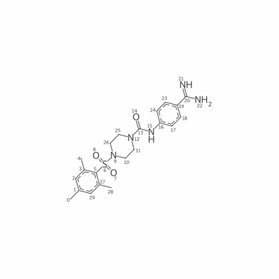 Cc1cc(C)c(S(=O)(=O)N2CCN(C(=O)Nc3ccc(C(=N)N)cc3)CC2)c(C)c1